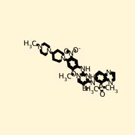 COc1cc(N2CCC(N3CCN(C)CC3)CC2)c([N+](=O)[O-])cc1Nc1ncc(Br)c(Nc2ccc3nccnc3c2P(C)(C)=O)n1